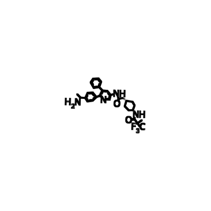 CC(N)c1ccc(-c2ncc(NC(=O)C[C@H]3CC[C@H](NC(=O)C(C)(C)C(F)(F)F)CC3)cc2-c2ccccc2)cc1